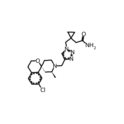 C[C@H]1C[C@@]2(CCN1Cc1cn(CC3(CC(N)=O)CC3)nn1)OCCc1ccc(Cl)cc12